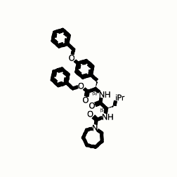 CC(C)C[C@H](NC(=O)N1CCCCCC1)C(=O)N[C@@H](Cc1ccc(OCc2ccccc2)cc1)C(=O)OCc1ccccc1